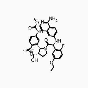 CCOc1ccc(F)c([C@@H](Nc2ccc3c(N)nccc3c2)C(=O)N2CC[C@H](C(=O)O)[C@@H]2c2cc(NC(=O)OC)ccc2[SH](=O)=O)c1